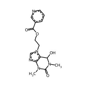 CN1C(=O)N(C)C(O)c2c1ncn2CCOC(=O)c1cccnc1